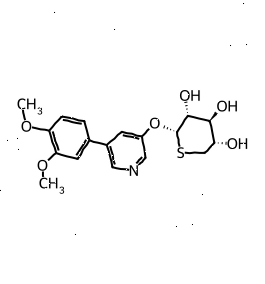 COc1ccc(-c2cncc(O[C@H]3SC[C@@H](O)[C@H](O)[C@H]3O)c2)cc1OC